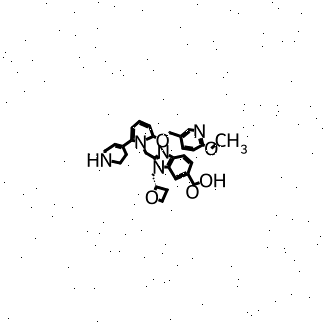 COc1ccc(COC2C=CC=C(C3=CCNCC3)N2Cc2nc3ccc(C(=O)O)cc3n2C[C@@H]2CCO2)cn1